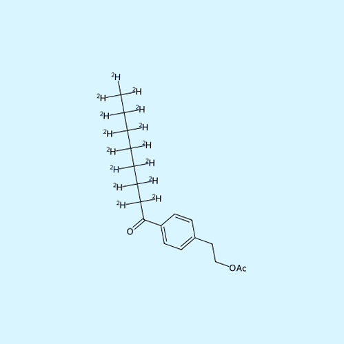 [2H]C([2H])([2H])C([2H])([2H])C([2H])([2H])C([2H])([2H])C([2H])([2H])C([2H])([2H])C([2H])([2H])C(=O)c1ccc(CCOC(C)=O)cc1